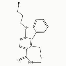 O=C1NCCCc2c1ccc1c2c2ccccc2n1CCCF